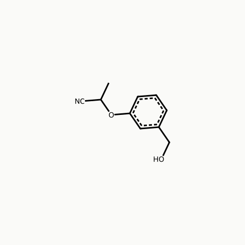 CC(C#N)Oc1cccc(CO)c1